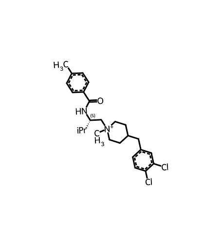 Cc1ccc(C(=O)N[C@H](C[N+]2(C)CCC(Cc3ccc(Cl)c(Cl)c3)CC2)C(C)C)cc1